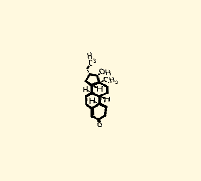 CC[C@H]1C[C@H]2[C@@H]3CCC4=CC(=O)CC[C@@H]4[C@H]3CC[C@]2(C)[C@H]1O